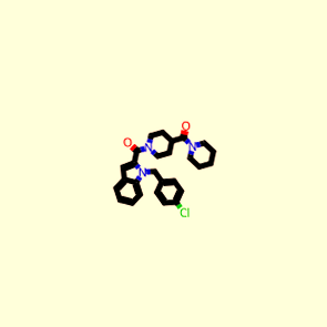 O=C(c1cc2ccccc2n1Cc1ccc(Cl)cc1)N1CCC(C(=O)N2CCCCC2)CC1